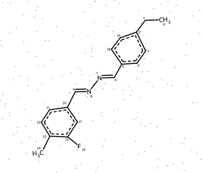 CCc1ccc(C=NN=Cc2ccc(C)c(F)c2)cc1